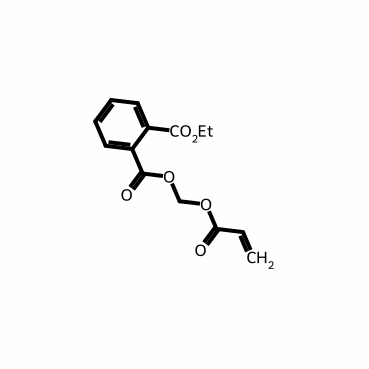 C=CC(=O)OCOC(=O)c1ccccc1C(=O)OCC